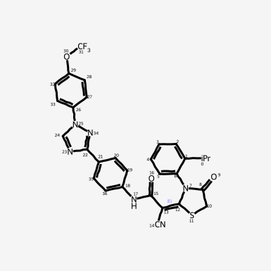 CC(C)c1ccccc1N1C(=O)CS/C1=C(\C#N)C(=O)Nc1ccc(-c2ncn(-c3ccc(OC(F)(F)F)cc3)n2)cc1